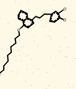 CCCCCCCCCCCCOc1ccc([CH]CCc2ccc(Cl)c(Cl)c2)c2ccccc12